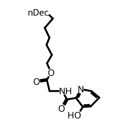 CCCCCCCCCCCCCCCCOC(=O)CNC(=O)c1ncccc1O